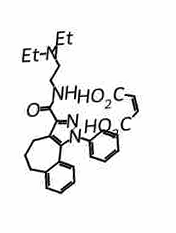 CCN(CC)CCNC(=O)c1nn(-c2ccccc2)c2c1CCCc1ccccc1-2.O=C(O)/C=C\C(=O)O